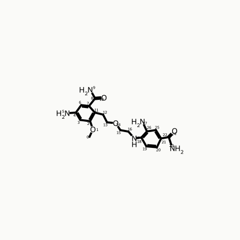 COc1cc(N)cc(C(N)=O)c1CCOCCNc1ccc(C(N)=O)cc1N